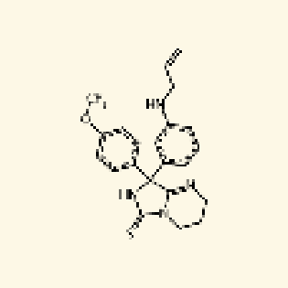 C=CCNc1cccc(C2(c3ccc(OC(F)(F)F)cc3)NC(=S)N3CCCN=C32)c1